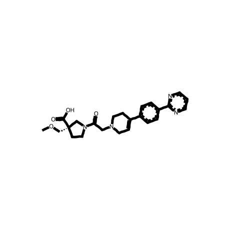 COC[C@@]1(C(=O)O)CCN(C(=O)CN2CC=C(c3ccc(-c4ncccn4)cc3)CC2)C1